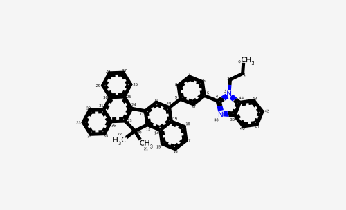 CCCn1c(-c2cccc(-c3cc4c(c5ccccc35)C(C)(C)c3c-4c4ccccc4c4ccccc34)c2)nc2ccccc21